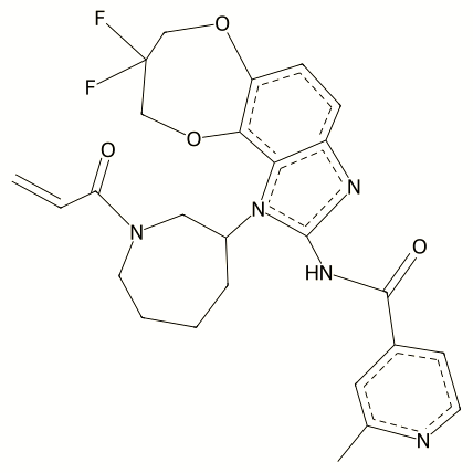 C=CC(=O)N1CCCCC(n2c(NC(=O)c3ccnc(C)c3)nc3ccc4c(c32)OCC(F)(F)CO4)C1